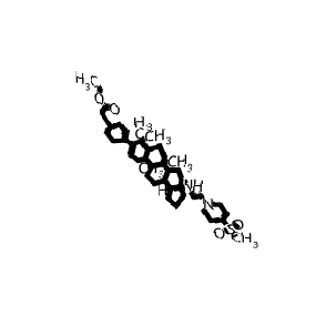 CCOC(=O)CC1CC=C(C2=CCC3(C)C(CCC4(C)C5CCC6(NCCN7CCC(S(C)(=O)=O)CC7)CCC[C@@H]6C5CCC43)C2(C)C)CC1